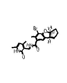 Cc1cc(C)c(CNC(=O)c2cc3c(c(Br)c2C)O[C@H]2CCC[C@@H]32)c(=O)[nH]1